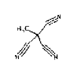 CC(C#N)(C#N)C#N